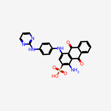 Nc1c(S(=O)(=O)O)cc(Nc2ccc(Nc3ncccn3)cc2)c2c1C(=O)c1ccccc1C2=O